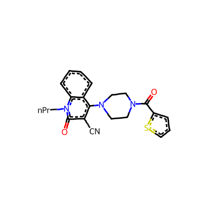 CCCn1c(=O)c(C#N)c(N2CCN(C(=O)c3cccs3)CC2)c2ccccc21